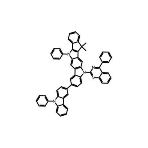 CC1(C)c2ccccc2-c2c1c1cc3c(cc1n2-c1ccccc1)c1cc(-c2ccc4c(c2)c2ccccc2n4-c2ccccc2)ccc1n3-c1nc(-c2ccccc2)c2ccccc2n1